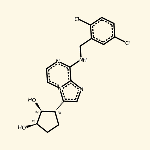 O[C@@H]1[C@H](O)CC[C@H]1c1cnc2c(NCc3cc(Cl)ccc3Cl)nccn12